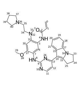 C=CC(=O)Nc1cc(Nc2nccc(-c3c4n(c5ccccc35)CCC4)n2)c(OC)cc1N(C)CCN1CCCC1